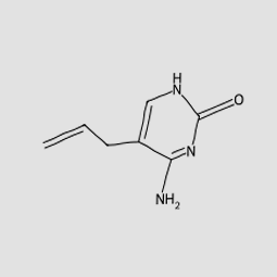 C=CCc1c[nH]c(=O)nc1N